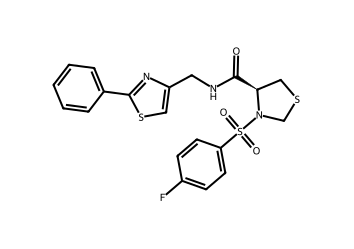 O=C(NCc1csc(-c2ccccc2)n1)[C@H]1CSCN1S(=O)(=O)c1ccc(F)cc1